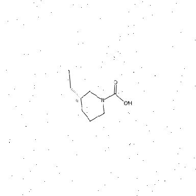 O=C(O)N1CCC[C@H](CI)C1